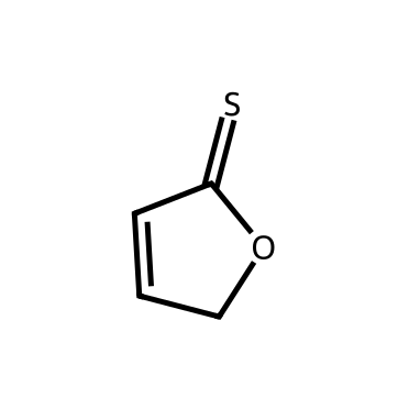 S=C1C=CCO1